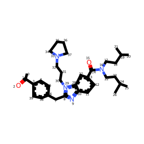 CC(=O)c1ccc(Cc2nc3ccc(C(=O)N(CCC(C)C)CCC(C)C)cc3n2CCCN2CCCC2)cc1